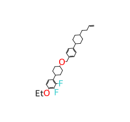 C=CCCC1CCC(c2ccc(COC3CCC(c4ccc(OCC)c(F)c4F)CC3)cc2)CC1